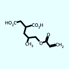 C=CC(=O)OCC(C)CC(CC(=O)O)C(=O)O